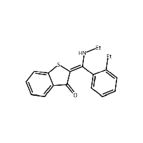 CCNC(=C1Sc2ccccc2C1=O)c1ccccc1CC